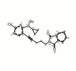 CCCN(c1nc(Cl)ncc1C#CCCCN1C(=O)c2ccccc2C1=O)C1CC1